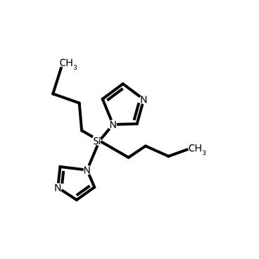 CCCC[Si](CCCC)(n1ccnc1)n1ccnc1